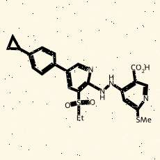 CCS(=O)(=O)c1cc(-c2ccc(C3CC3)cc2)cnc1NNc1cc(SC)ncc1C(=O)O